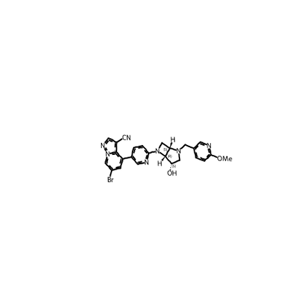 COc1ccc(CN2C[C@H](O)[C@H]3[C@@H]2CN3c2ccc(-c3cc(Br)cn4ncc(C#N)c34)cn2)cn1